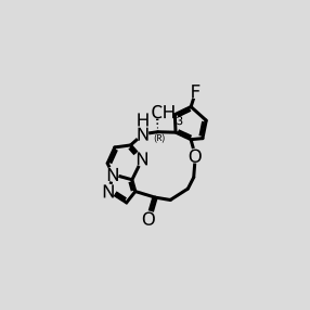 C[C@H]1Nc2ccn3ncc(c3n2)C(=O)CCCOc2ccc(F)cc21